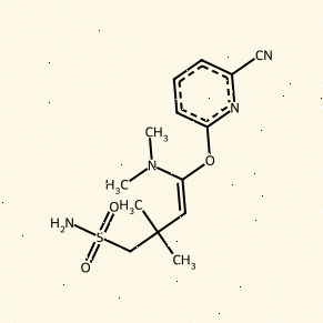 CN(C)C(=CC(C)(C)CS(N)(=O)=O)Oc1cccc(C#N)n1